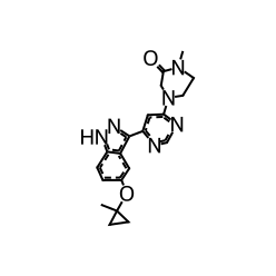 CN1CCN(c2cc(-c3n[nH]c4ccc(OC5(C)CC5)cc34)ncn2)CC1=O